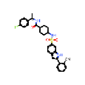 C[C@@H](NC(=O)C1CCC(NS(=O)(=O)c2ccc3cc(-c4ccccc4C#N)[nH]c3c2)CC1)c1ccc(F)cc1